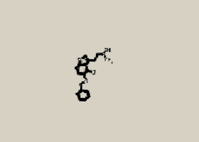 CN(C)CCc1c[nH]c2ccc(OCc3ccccc3)c(Cl)c12